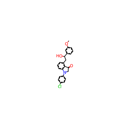 COc1cccc(C(O)Cc2cccc3c2C(=O)CN3c2ccc(Cl)cc2)c1